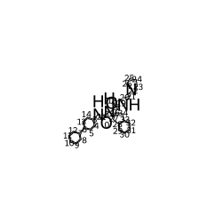 O=C(Nc1ccc(-c2ccccc2)cc1)NC1(C(=O)NCCN2CCCC2)Cc2ccccc2C1